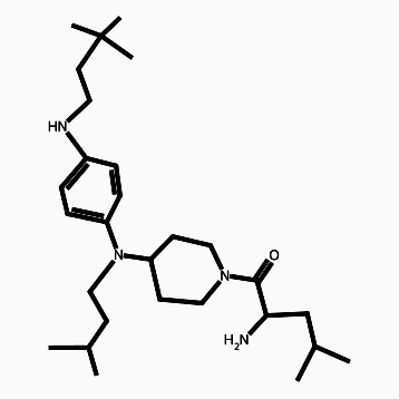 CC(C)CCN(c1ccc(NCCC(C)(C)C)cc1)C1CCN(C(=O)C(N)CC(C)C)CC1